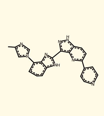 Cc1cn(-c2cccc3[nH]c(-c4n[nH]c5ccc(-c6ccncc6)nc45)nc23)cn1